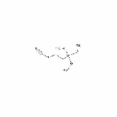 CO[Si](CCSC#N)(OC)OC